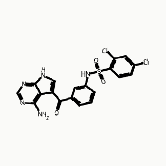 Nc1ncnc2[nH]cc(C(=O)c3cccc(NS(=O)(=O)c4ccc(Cl)cc4Cl)c3)c12